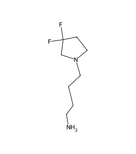 NCCCCN1CCC(F)(F)C1